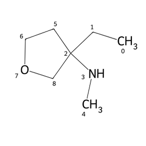 CCC1(NC)CCOC1